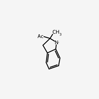 CC(=O)C1(C)Cc2ccccc2[N]1